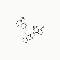 Cc1c(Cl)cccc1S(=O)(=O)Nc1ncc2c(c1OCc1ccc3c(c1)OCCN3C)OCC2